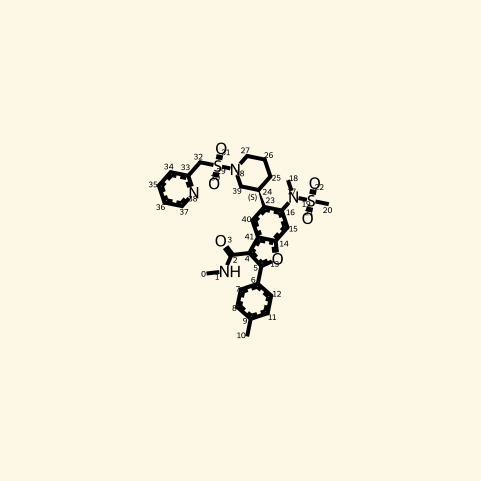 CNC(=O)c1c(-c2ccc(C)cc2)oc2cc(N(C)S(C)(=O)=O)c([C@@H]3CCCN(S(=O)(=O)Cc4ccccn4)C3)cc12